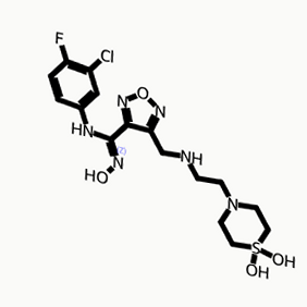 O/N=C(\Nc1ccc(F)c(Cl)c1)c1nonc1CNCCN1CCS(O)(O)CC1